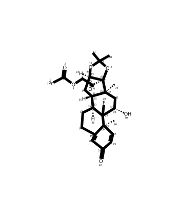 CC(C)C(=O)OCC(=O)[C@@]12OC(C)(C)O[C@@H]1C[C@H]1[C@@H]3CCC4=CC(=O)C=C[C@]4(C)C3(F)[C@@H](O)C[C@@]12C